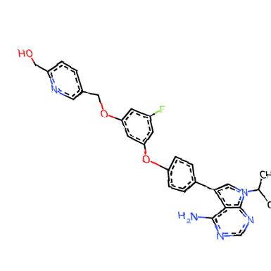 CC(C)n1cc(-c2ccc(Oc3cc(F)cc(OCc4ccc(CO)nc4)c3)cc2)c2c(N)ncnc21